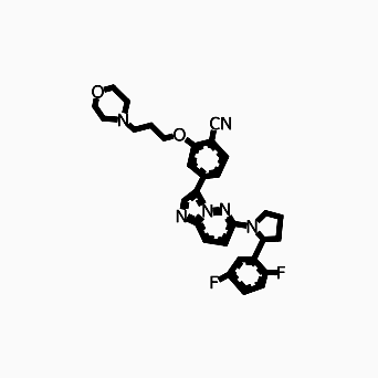 N#Cc1ccc(-c2cnc3ccc(N4CCCC4c4cc(F)ccc4F)nn23)cc1OCCCN1CCOCC1